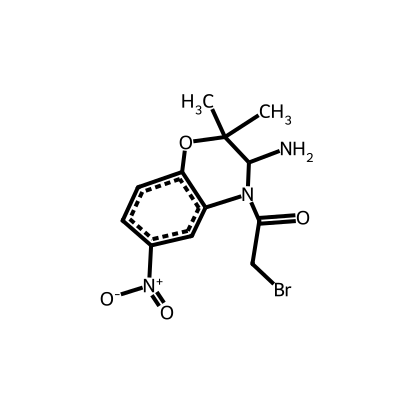 CC1(C)Oc2ccc([N+](=O)[O-])cc2N(C(=O)CBr)C1N